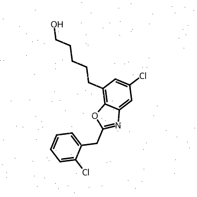 OCCCCCc1cc(Cl)cc2nc(Cc3ccccc3Cl)oc12